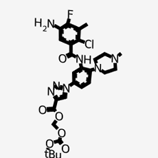 Cc1c(F)c(N)cc(C(=O)Nc2cc(-n3cc(C(=O)OCOC(=O)OC(C)(C)C)nn3)ccc2N2CCN(C)CC2)c1Cl